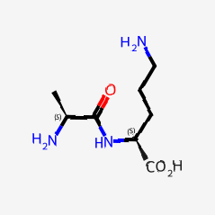 C[C@H](N)C(=O)N[C@@H](CCCN)C(=O)O